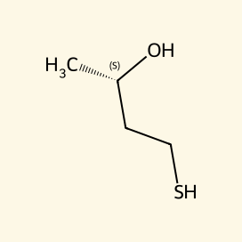 C[C@H](O)CCS